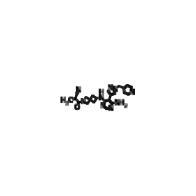 C=C(C#N)C(=O)N1CC2(CC(Nc3ncnc(N)c3-c3cnn(Cc4ccncc4)c3)C2)C1